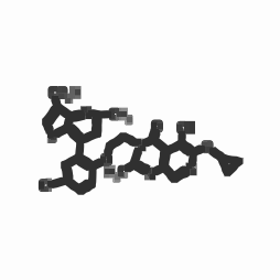 Cc1cc(-c2cc(Cl)ccc2OCCn2c(C)nc3cnc(OC4CC4)c(C#N)c3c2=O)c2scc(C(=O)O)c2n1